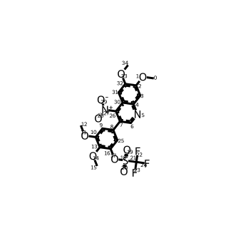 COc1cc2ncc(-c3cc(OC)c(OC)c(OS(=O)(=O)C(F)(F)F)c3)c([N+](=O)[O-])c2cc1OC